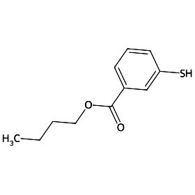 CCCCOC(=O)c1cccc(S)c1